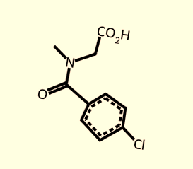 CN(CC(=O)O)C(=O)c1ccc(Cl)cc1